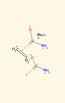 C=C.NC([O-])=S.NC([O-])=S.[Mn+2]